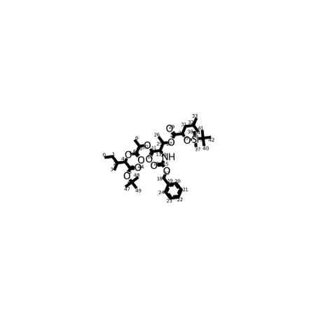 CCC(C)C(OC(=O)C(C)OC(=O)C(NC(=O)OCc1ccccc1)C(C)OC(=O)C(CC(C)C)O[Si](C)(C)C(C)(C)C)C(=O)OC(C)(C)C